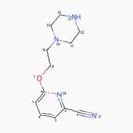 N#Cc1cccc(OCCN2CCNCC2)n1